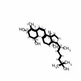 CC1=C(/C=C\C2=CCC[C@]3(C)[C@@H]([C@H](C)CCCC(C)(C)O)CC[C@@H]23)C[C@@H](O)C[C@@H]1O